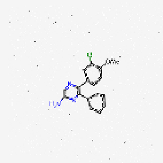 COc1ccc(-c2ncc(N)nc2-c2ccccc2)cc1Cl